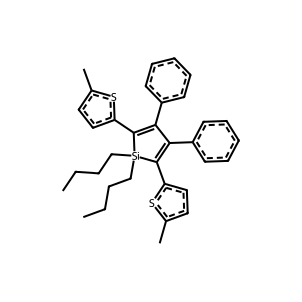 CCCC[Si]1(CCCC)C(c2ccc(C)s2)=C(c2ccccc2)C(c2ccccc2)=C1c1ccc(C)s1